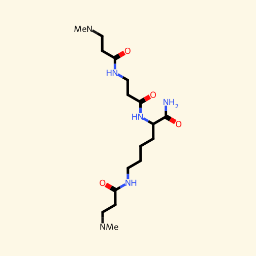 CNCCC(=O)NCCCCC(NC(=O)CCNC(=O)CCNC)C(N)=O